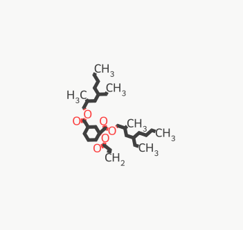 C=CC(=O)OC1(C(=O)OCC(C)CC(CC)CCCC)CCCC(C(=O)OCC(C)CC(CC)CCCC)C1